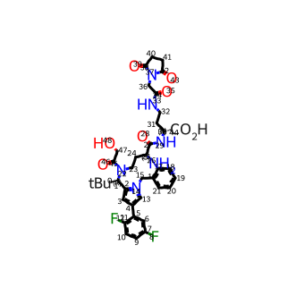 CC(C)(C)[C@H](c1cc(-c2cc(F)ccc2F)cn1Cc1ccccc1)N(CC[C@H](N)C(=O)N[C@H](CCNC(=O)CN1C(=O)CCC1=O)C(=O)O)C(=O)CO